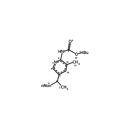 CCCCCCCCCC(C)c1cnc(NC(=O)OC(C)(C)C)c(C)c1